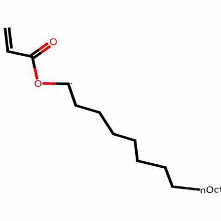 [CH2]CCCCCCCCCCCCCC[CH]OC(=O)C=C